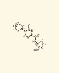 Cc1nc(C(=O)N[C@H]2COC[C@@H]2O)ccc1N1CCNCC1